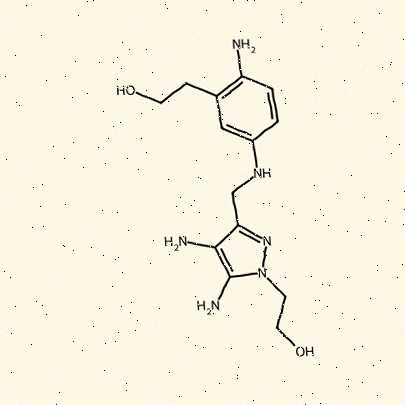 Nc1ccc(NCc2nn(CCO)c(N)c2N)cc1CCO